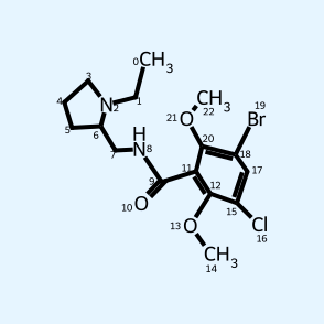 CCN1CCCC1CNC(=O)c1c(OC)c(Cl)cc(Br)c1OC